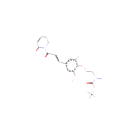 COc1cc(/C=C/C(=O)N2CCC=CC2=O)cc(C)c1OCCN(C)C(=O)OC(C)(C)C